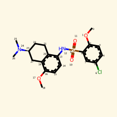 COc1ccc(Cl)cc1S(=O)(=O)Nc1ccc(OC)c2c1CC[C@H](N(C)C)C2